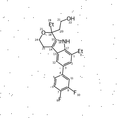 CCc1cc(-c2ccc(F)c(F)c2)cc2c3c([nH]c12)C(CC)(CCO)OCC3